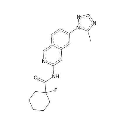 Cc1ncnn1-c1ccc2cnc(NC(=O)C3(F)CCCCC3)cc2c1